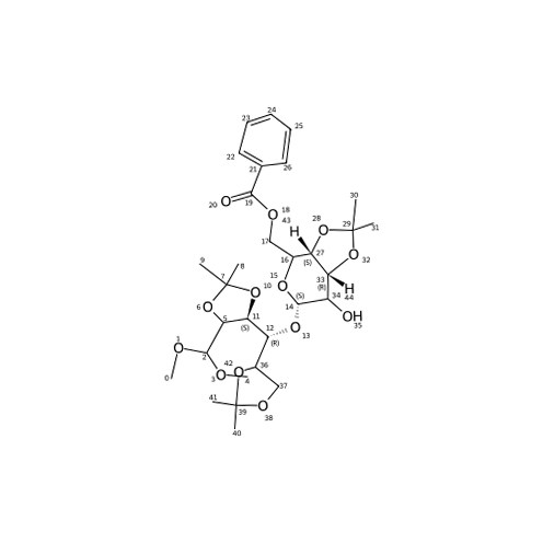 COC(OC)C1OC(C)(C)O[C@H]1[C@H](O[C@@H]1OC(COC(=O)c2ccccc2)[C@@H]2OC(C)(C)O[C@@H]2C1O)C1COC(C)(C)O1